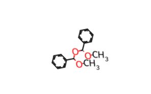 CO[C@H](O[C@@H](OC)c1ccccc1)c1ccccc1